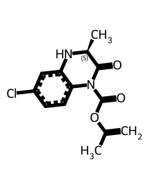 C=C(C)OC(=O)N1C(=O)[C@H](C)Nc2cc(Cl)ccc21